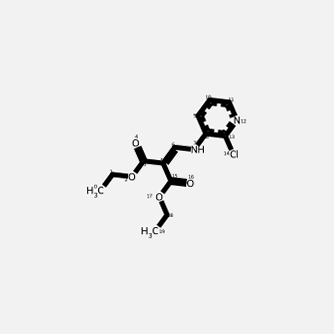 CCOC(=O)C(=CNc1cccnc1Cl)C(=O)OCC